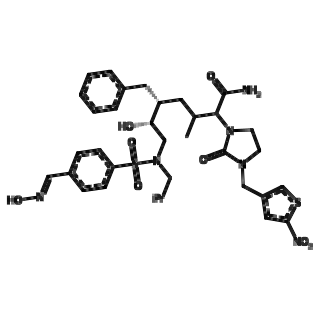 CC(C)CN(C[C@H](O)[C@H](Cc1ccccc1)CC(C)C(C(N)=O)N1CCN(Cc2csc([N+](=O)[O-])c2)C1=O)S(=O)(=O)c1ccc(C=NO)cc1